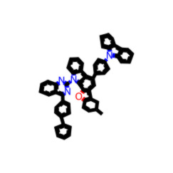 CC1C=Cc2oc3c(cc(-c4ccc(-n5c6ccccc6c6ccccc65)cc4)c4c5ccccc5n(-c5nc(-c6ccc(-c7ccccc7)cc6)c6ccccc6n5)c34)c2C1